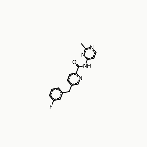 Cc1nccc(NC(=O)c2ccc(Cc3cccc(F)c3)cn2)n1